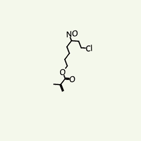 C=C(C)C(=O)OCCCCC(CCCl)N=O